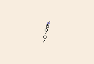 C=CC[C@H]1CC[C@H](CCc2ccc(COC/C=C/C)cc2)CC1